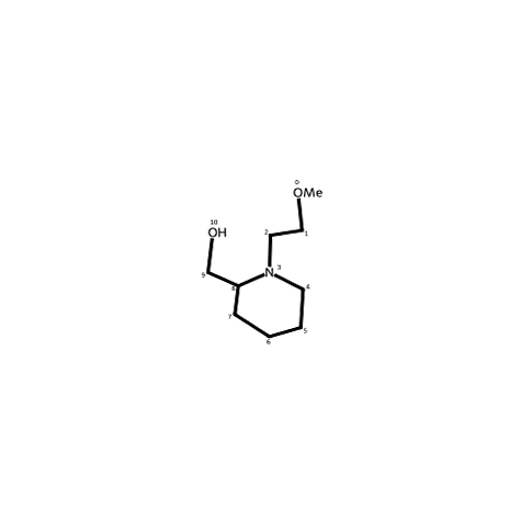 COCCN1CCCCC1CO